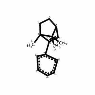 CC12CCC(C=C1c1ccccc1)C2(C)C